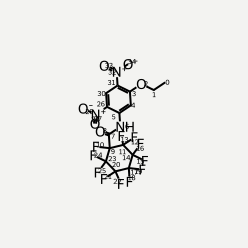 CCOc1cc(NC(=O)C2(F)C(F)(F)C(F)(F)C(F)(F)C(F)(F)C2(F)F)c([N+](=O)[O-])cc1[N+](=O)[O-]